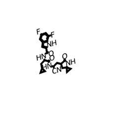 N#CC(CC1CC2(CC2)NC1=O)NC(=O)C(CC1CC1)NC(=O)c1cc2cc(F)cc(F)c2[nH]1